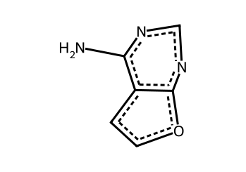 Nc1ncnc2occc12